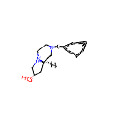 O[C@H]1C[C@@H]2CN(Cc3ccccc3)CCN2C1